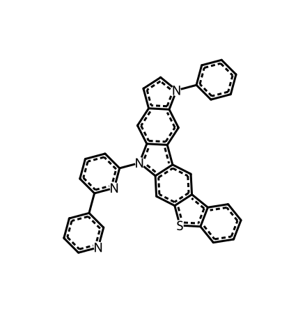 c1ccc(-n2ccc3cc4c(cc32)c2cc3c(cc2n4-c2cccc(-c4cccnc4)n2)sc2ccccc23)cc1